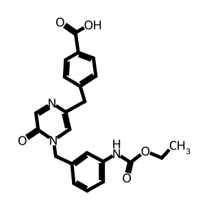 CCOC(=O)Nc1cccc(Cn2cc(Cc3ccc(C(=O)O)cc3)ncc2=O)c1